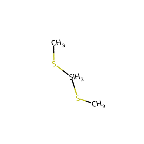 CS[SiH2]SC